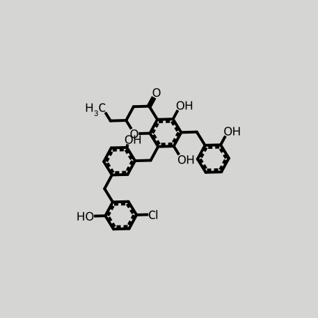 CCC1CC(=O)c2c(O)c(Cc3ccccc3O)c(O)c(Cc3cc(Cc4cc(Cl)ccc4O)ccc3O)c2O1